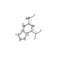 CPc1nc(C(C)C)c2ccsc2n1